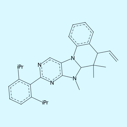 C=CC1c2ccccc2N2c3cnc(-c4c(C(C)C)cccc4C(C)C)nc3N(C)C2C1(C)C